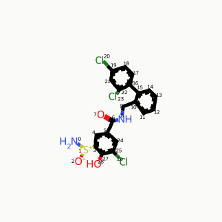 N[S+]([O-])c1cc(C(=O)NCc2ccccc2-c2ccc(Cl)cc2Cl)cc(Cl)c1O